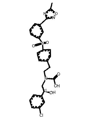 Cc1nc(-c2cccc(S(=O)(=O)c3ccc(CCN(C[C@@H](O)c4cccc(Cl)c4)C(=O)O)cc3)c2)no1